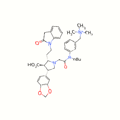 CCCCN(C(=O)CN1C[C@H](c2ccc3c(c2)OCO3)[C@@H](C(=O)O)[C@@H]1CCN1C(=O)Cc2ccccc21)c1cccc(C[N+](C)(C)C)c1